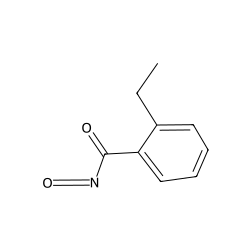 CCc1ccccc1C(=O)N=O